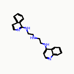 c1ccc2c(NCCNCCNc3ccnc4ccccc34)nccc2c1